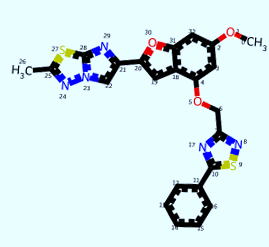 COc1cc(OCc2nsc(-c3ccccc3)n2)c2cc(-c3cn4nc(C)sc4n3)oc2c1